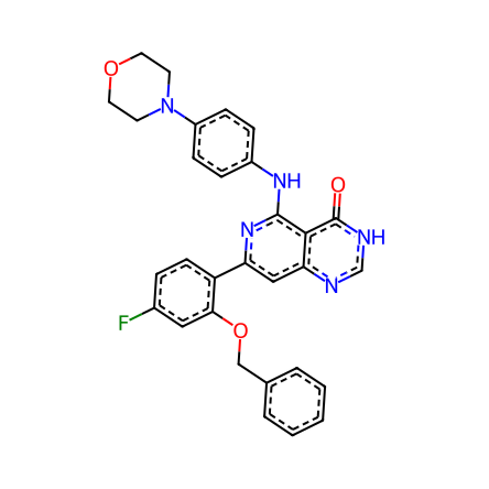 O=c1[nH]cnc2cc(-c3ccc(F)cc3OCc3ccccc3)nc(Nc3ccc(N4CCOCC4)cc3)c12